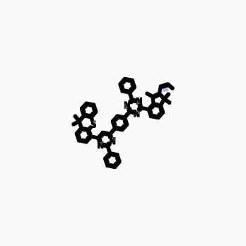 C/C=C\C1=C(C)c2c(-c3nc(-c4ccccc4)nc(-c4ccc(-c5cc(-c6cccc7c6Sc6ccccc6C7(C)C)nc(-c6ccccc6)n5)cc4)n3)cccc2C1(C)C